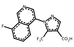 O=C(O)c1cnn(-c2cncc3c(F)cccc23)c1C(F)(F)F